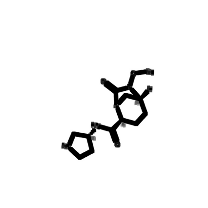 O=C(N[C@@H]1CCNC1)[C@@H]1CC[C@@H]2CN1C(=O)N2OS